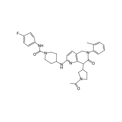 CC(=O)N1CCC(C2C(=O)N(c3ccccc3C)Cc3ccc(NC4CCN(C(=O)Nc5ccc(F)cc5)CC4)nc32)C1